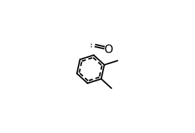 Cc1ccccc1C.[C]=O